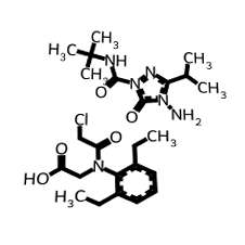 CC(C)c1nn(C(=O)NC(C)(C)C)c(=O)n1N.CCc1cccc(CC)c1N(CC(=O)O)C(=O)CCl